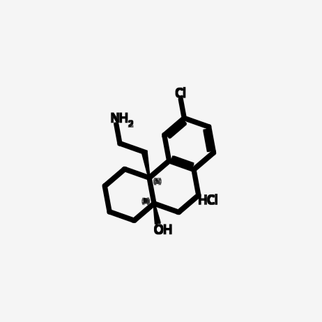 Cl.NCC[C@]12CCCC[C@@]1(O)CCc1ccc(Cl)cc12